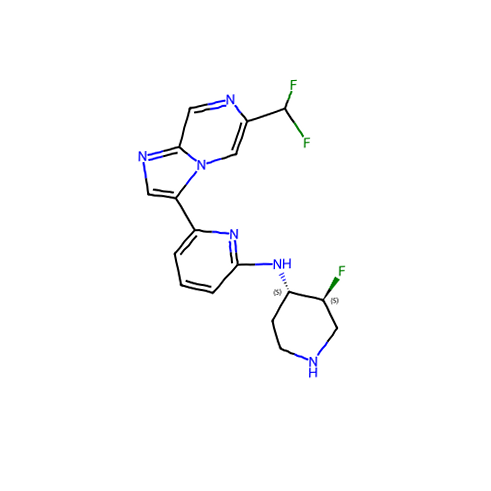 FC(F)c1cn2c(-c3cccc(N[C@H]4CCNC[C@@H]4F)n3)cnc2cn1